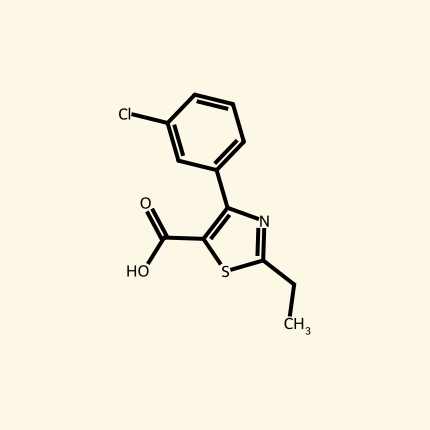 CCc1nc(-c2cccc(Cl)c2)c(C(=O)O)s1